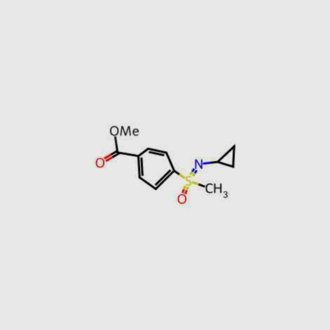 COC(=O)c1ccc(S(C)(=O)=NC2CC2)cc1